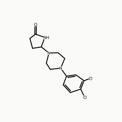 O=C1CCC(N2CCN(c3ccc(Cl)c(Cl)c3)CC2)N1